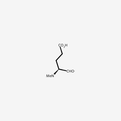 CN[C@H]([C]=O)CCC(=O)O